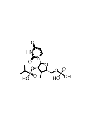 CC(C)P(=O)(O)O[C@@H]1[C@H](C)[C@@H](COP(=O)(O)O)O[C@H]1n1ccc(=O)[nH]c1=O